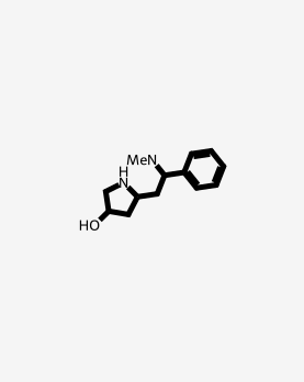 CNC(CC1CC(O)CN1)c1ccccc1